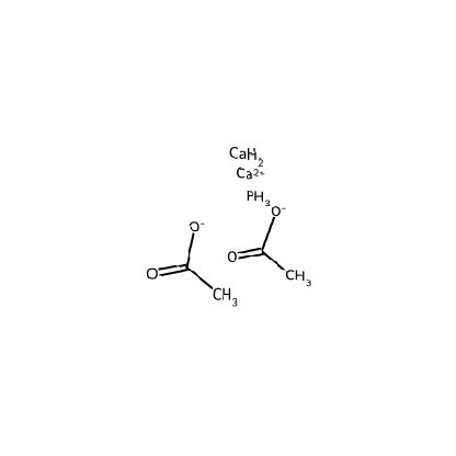 CC(=O)[O-].CC(=O)[O-].P.[Ca+2].[CaH2]